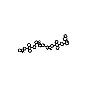 CC1C=C(c2cccc3oc4c5ccccc5ccc4c23)C=CC1c1c2ccccc2c(-c2ccc3c(c2)C(C)(C)c2ccc(-c4ccc5c(ccc6c5oc5cccc(-c7cccc(-c8c9ccccc9c(-c9ccc%10c(c9)C(C)(C)c9ccccc9-%10)c9ccccc89)c7)c56)c4)cc2-3)c2ccccc12